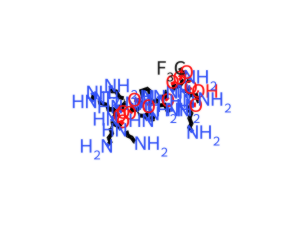 N=C(N)NCC/C=C(\NC(=O)[C@H](CCCCN)NC(=O)[C@H](Cc1cnc[nH]1)NC(=O)[C@@H]1CCCN1C(=O)[C@@H](CCCN)NC(=O)CNC(=O)[C@@H](NC(=O)[C@@H](NC(=O)[C@@H](N)CCCCN)[C@@H](O)CN)[C@H](CN)OC(=O)C(F)(F)F)C(=O)N[C@@H](CCCCN)C(=O)NCCCCN